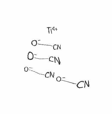 N#C[O-].N#C[O-].N#C[O-].N#C[O-].[Ti+4]